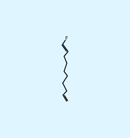 C=CCCCCCCC=CF